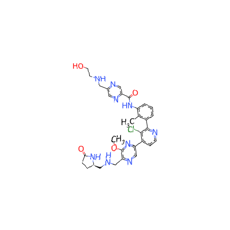 COc1nc(-c2ccnc(-c3cccc(NC(=O)c4cnc(CNCCO)cn4)c3C)c2Cl)cnc1CNC[C@H]1CCC(=O)N1